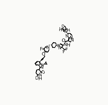 O=C1CCC(c2nn(C3CC3)c3c(C#CCO[C@H]4CCN(C[C@H]5CC[C@H](n6cc(NC(=O)c7cnn8ccc(N9C[C@H]%10C[C@@H]9CO%10)nc78)c(C(F)F)n6)CC5)C[C@H]4F)cccc23)C(=O)N1